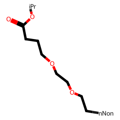 CCCCCCCCCCCOCCOCCCC(=O)OC(C)C